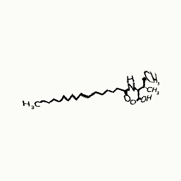 CCCCCCCCCCCCCCCCC(=O)N[C@H](C(=O)O)[C@@H](C)CC